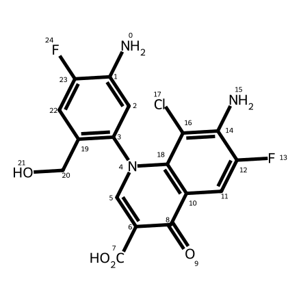 Nc1cc(-n2cc(C(=O)O)c(=O)c3cc(F)c(N)c(Cl)c32)c(CO)cc1F